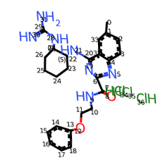 Cc1ccc2nc(C(=O)NCCOc3ccccc3)nc(N[C@H]3CCCC[C@H]3NC(=N)N)c2c1.Cl.Cl.Cl